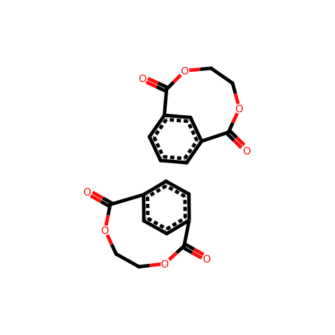 O=C1OCCOC(=O)c2ccc1cc2.O=C1OCCOC(=O)c2cccc1c2